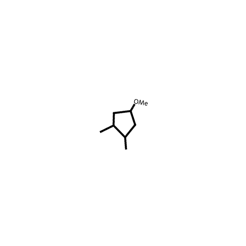 [CH2]OC1CC(C)C(C)C1